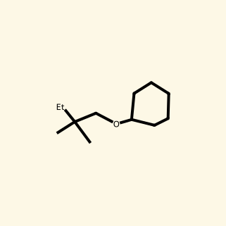 CCC(C)(C)COC1CCCCC1